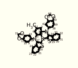 Cc1cc2c3c(c1)N(c1ccc4c(c1)OCO4)c1c(sc4ccccc14)B3c1sc3ccccc3c1N2c1ccc2c(c1)OCO2